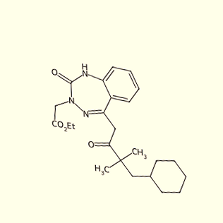 CCOC(=O)CN1N=C(CC(=O)C(C)(C)CC2CCCCC2)c2ccccc2NC1=O